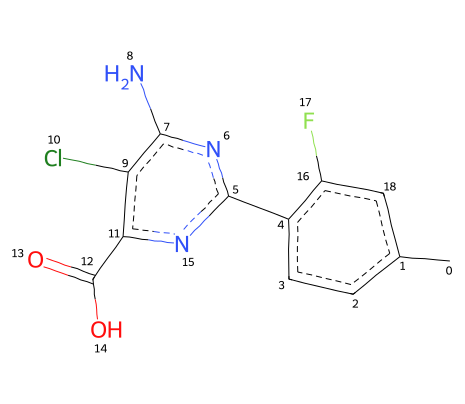 Cc1ccc(-c2nc(N)c(Cl)c(C(=O)O)n2)c(F)c1